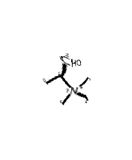 CC(C=O)[N+](C)(C)C